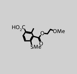 COCCOC(=O)c1c(SC)ccc(C(=O)O)c1C